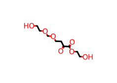 O=C(CCOCOCCO)C(=O)OCCO